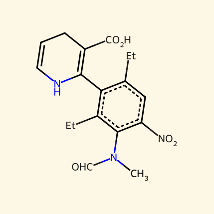 CCc1cc([N+](=O)[O-])c(N(C)C=O)c(CC)c1C1=C(C(=O)O)CC=CN1